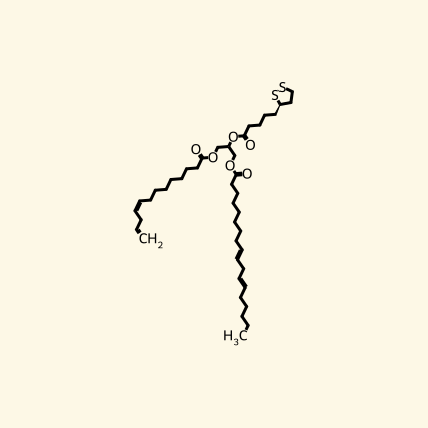 C=CC/C=C\CCCCCCCC(=O)OCC(COC(=O)CCCCCCC/C=C/C/C=C/CCCCC)OC(=O)CCCC[C@@H]1CCSS1